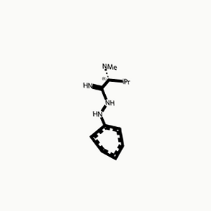 CN[C@@H](C(=N)NNc1ccccc1)C(C)C